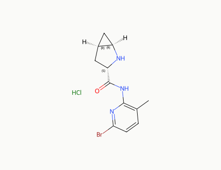 Cc1ccc(Br)nc1NC(=O)[C@@H]1C[C@H]2C[C@H]2N1.Cl